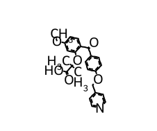 COc1ccc(C(=O)c2ccc(OCc3ccncc3)cc2)c(OC(C)(C)C(=O)O)c1